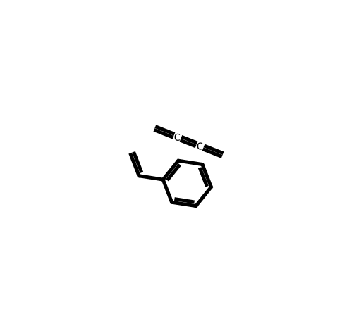 C=C=C=C.C=Cc1ccccc1